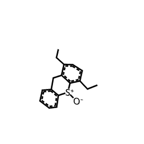 CCc1ccc(CC)c2c1Cc1ccccc1[S+]2[O-]